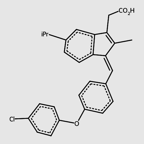 CC1=C(CC(=O)O)c2cc(C(C)C)ccc2/C1=C\c1ccc(Oc2ccc(Cl)cc2)cc1